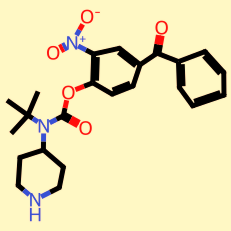 CC(C)(C)N(C(=O)Oc1ccc(C(=O)c2ccccc2)cc1[N+](=O)[O-])C1CCNCC1